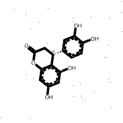 O=C1C[C@H](c2ccc(O)c(O)c2)c2c(O)cc(O)cc2O1